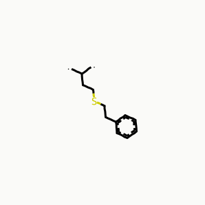 [CH2]C([CH2])CCSCCc1ccccc1